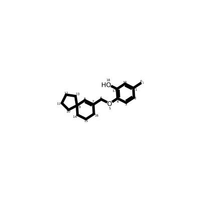 [CH]c1ccc(OCC2=CC3(CCCC3)CCC2)c(O)c1